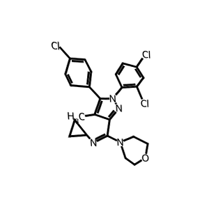 Cc1c(C(=NC2CC2)N2CCOCC2)nn(-c2ccc(Cl)cc2Cl)c1-c1ccc(Cl)cc1